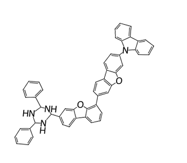 c1ccc(C2NC(c3ccccc3)NC(c3ccc4c(c3)oc3c(-c5ccc6c(c5)oc5cc(-n7c8ccccc8c8ccccc87)ccc56)cccc34)N2)cc1